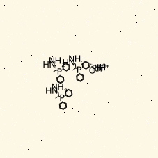 CC(CNN)P(c1ccccc1)c1ccccc1.CC(CNN)P(c1ccccc1)c1ccccc1.CC(CNN)P(c1ccccc1)c1ccccc1.[C]=O.[H-].[H-].[H-].[Rh+3]